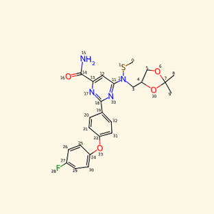 CSN(CC1COC(C)(C)O1)c1cc(C(N)=O)nc(-c2ccc(Oc3ccc(F)cc3)cc2)n1